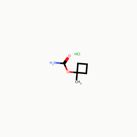 CC1(OC(N)=O)CCC1.Cl